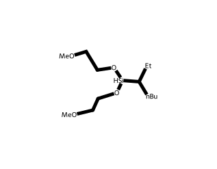 CCCCC(CC)[SiH](OCCOC)OCCOC